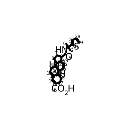 CC(C)(NC(=O)C1CC[C@H]2[C@@H]3CC=C4C=C(C(=O)O)CC[C@]4(C)[C@H]3CC[C@]12C)c1cccs1